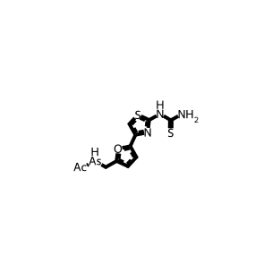 CC(=O)[AsH]Cc1ccc(-c2csc(NC(N)=S)n2)o1